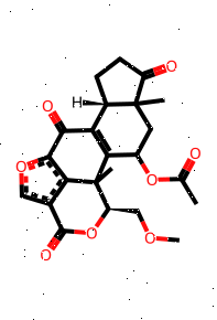 COC[C@H]1OC(=O)c2coc3c2C1(C)C1=C(C3=O)[C@@H]2CCC(=O)C2(C)CC1OC(C)=O